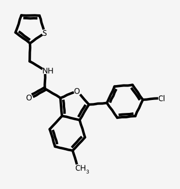 Cc1ccc2c(C(=O)NCc3cccs3)oc(-c3ccc(Cl)cc3)c2c1